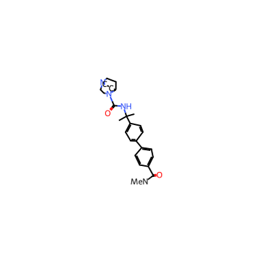 CNC(=O)c1ccc(-c2ccc(C(C)(C)NC(=O)N3CCN4CCC3CC4)cc2)cc1